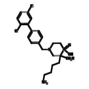 NCCCCC1(C(=O)O)CN(Cc2ccc(-c3cc(Cl)ccc3Cl)cc2)CCP1(=O)O